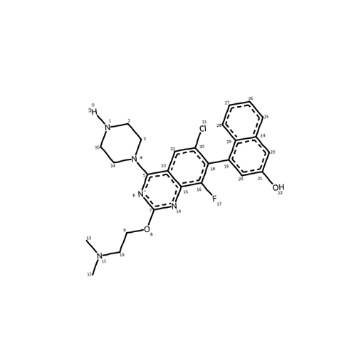 [3H]N1CCN(c2nc(OCCN(C)C)nc3c(F)c(-c4cc(O)cc5ccccc45)c(Cl)cc23)CC1